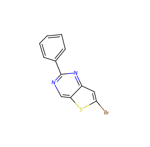 Brc1cc2nc(-c3ccccc3)ncc2s1